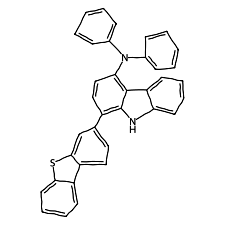 c1ccc(N(c2ccccc2)c2ccc(-c3ccc4c(c3)sc3ccccc34)c3[nH]c4ccccc4c23)cc1